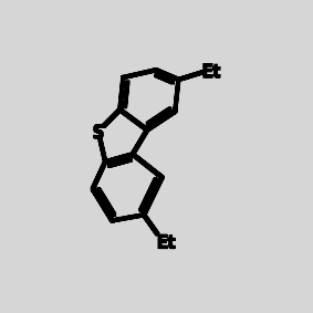 CCc1ccc2sc3ccc(CC)cc3c2c1